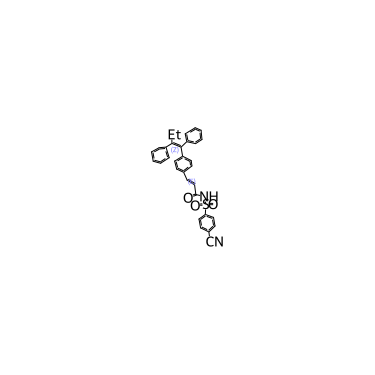 CC/C(=C(\c1ccccc1)c1ccc(/C=C/C(=O)NS(=O)(=O)c2ccc(C#N)cc2)cc1)c1ccccc1